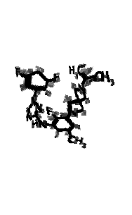 Cc1cc(Nc2ncn(-c3cc(F)cc(F)c3)n2)c(F)c(N2CC3(C2)CN(C(C)C)C3)c1